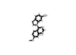 COc1ccc2c(N3CCc4ccc(Cl)cc43)ncnc2c1